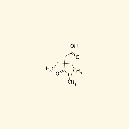 CCC(CC)(CC(=O)O)C(=O)OC